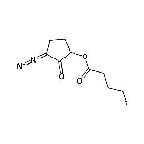 CCCCC(=O)OC1CCC(=[N+]=[N-])C1=O